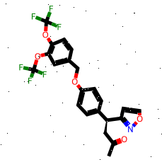 CC(=O)C[C@@H](c1ccc(OCc2ccc(OC(F)(F)F)c(OC(F)(F)F)c2)cc1)c1ccon1